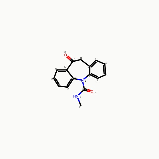 CNC(=O)N1c2ccccc2CC(=O)c2ccccc21